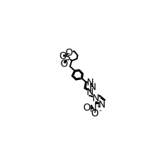 O=[N+]([O-])c1nccn1Cn1cc(-c2ccc(CC3CCCOS3(=O)=O)cc2)nn1